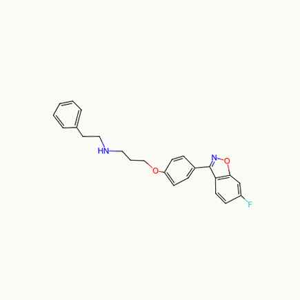 Fc1ccc2c(-c3ccc(OCCCNCCc4ccccc4)cc3)noc2c1